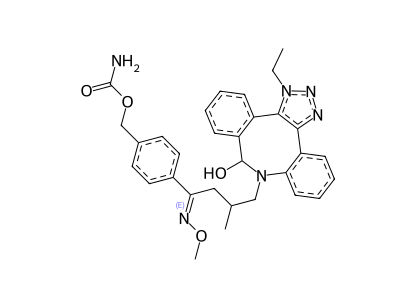 CCn1nnc2c1-c1ccccc1C(O)N(CC(C)C/C(=N\OC)c1ccc(COC(N)=O)cc1)c1ccccc1-2